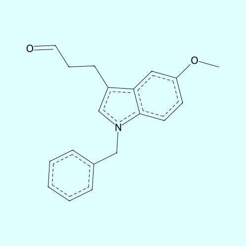 COc1ccc2c(c1)c(CCC=O)cn2Cc1ccccc1